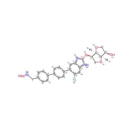 ONCc1ccc(-c2ccc(-c3cc4nc(O[C@@H]5CO[C@H]6[C@@H]5OC[C@H]6O)[nH]c4cc3Cl)cc2)cc1